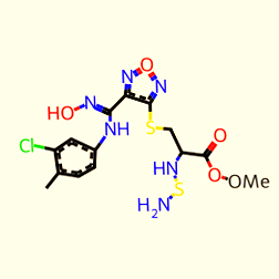 COOC(=O)C(CSc1nonc1/C(=N/O)Nc1ccc(C)c(Cl)c1)NSN